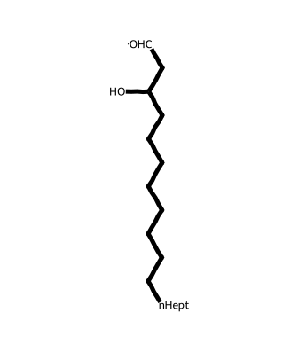 CCCCCCCCCCCCCCCC(O)C[C]=O